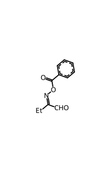 CCC(C=O)=NOC(=O)c1ccccc1